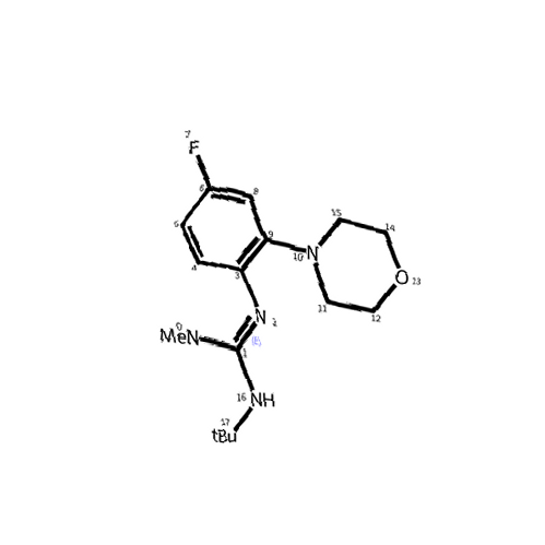 CN/C(=N\c1ccc(F)cc1N1CCOCC1)NC(C)(C)C